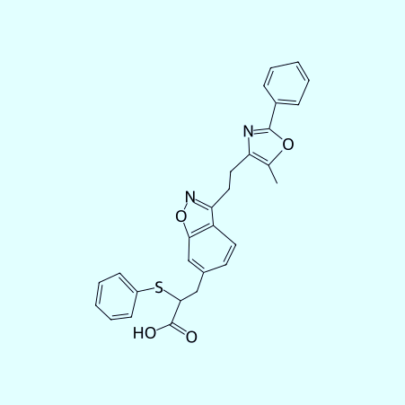 Cc1oc(-c2ccccc2)nc1CCc1noc2cc(CC(Sc3ccccc3)C(=O)O)ccc12